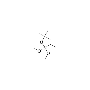 CC[Si](OC)(OC)OC(C)(C)C